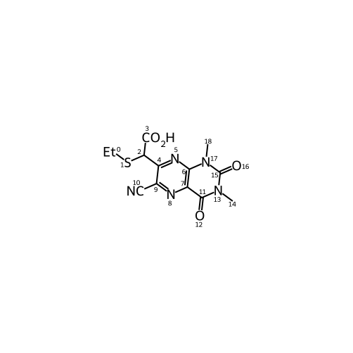 CCSC(C(=O)O)c1nc2c(nc1C#N)c(=O)n(C)c(=O)n2C